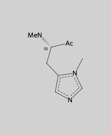 CN[C@@H](Cc1cncn1C)C(C)=O